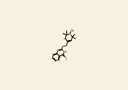 CC1(C)C=C(CSc2nc3ccccc3c(=O)[nH]2)CC(C)(C)N1O